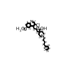 COc1ccc2ncc(Cl)c(CCCC3(C(=O)O)CCN(CCCCc4cccs4)CC3)c2c1